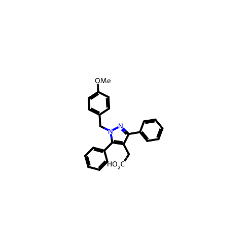 COc1ccc(Cn2nc(-c3ccccc3)c(CC(=O)O)c2-c2ccccc2)cc1